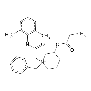 CCC(=O)OC1CCC[N+](CC(=O)Nc2c(C)cccc2C)(Cc2ccccc2)C1